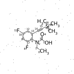 CCN(C(=O)O)c1c(F)cc(F)cc1C#C[Si](C)(C)C